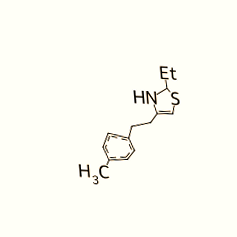 CCC1NC(CCc2ccc(C)cc2)=CS1